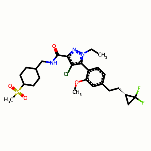 CCn1nc(C(=O)NCC2CCC(S(C)(=O)=O)CC2)c(Cl)c1-c1ccc(CC[C@H]2CC2(F)F)cc1OC